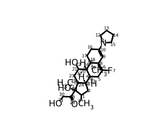 CC1C[C@H]2[C@@H]3CC(F)=C4C=C(N5CCCC5)CC[C@]4(C)[C@H]3C(O)C[C@]2(C)[C@@]1(O)C(=O)CO